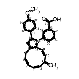 C=C1/C=C\C=C/Cc2cc(-c3ccc(OC)cc3)n(-c3cccc(C(=O)O)c3)c2/C=C\1